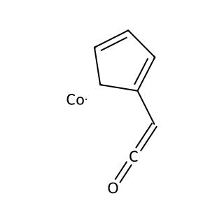 O=C=CC1=CC=CC1.[Co]